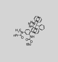 CCCC(=O)N(C)c1ccc(-c2ccccc2C2=NN=N[N@+]2(c2ccccc2)C(c2ccccc2)(c2ccccc2)c2ccccc2)c(NC(=O)OC(C)(C)C)c1